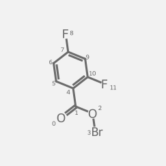 O=C(OBr)c1ccc(F)cc1F